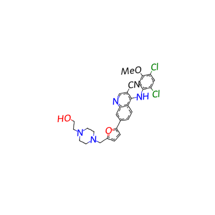 COc1cc(Nc2c(C#N)cnc3cc(-c4ccc(CN5CCN(CCO)CC5)o4)ccc23)c(Cl)cc1Cl